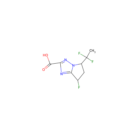 CC(F)(F)C1CC(F)c2nc(C(=O)O)nn21